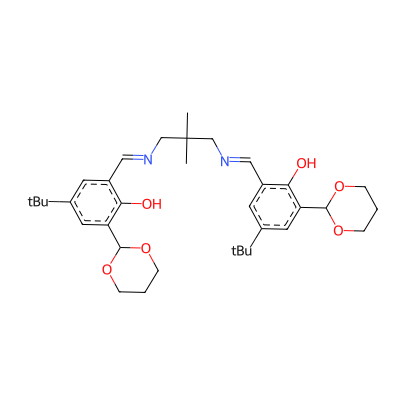 CC(C)(C/N=C/c1cc(C(C)(C)C)cc(C2OCCCO2)c1O)C/N=C/c1cc(C(C)(C)C)cc(C2OCCCO2)c1O